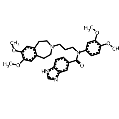 COc1ccc(N(CCCN2CCc3cc(OC)c(OC)cc3CC2)C(=O)c2ccc3[nH]cnc3c2)cc1OC